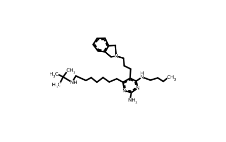 CCCCNc1nc(N)nc(CCCCCCCNC(C)(C)C)c1CCCN1Cc2ccccc2C1